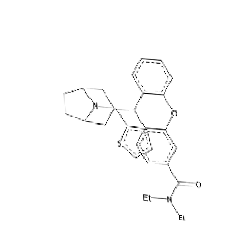 CCN(CC)C(=O)c1ccc2c(c1)Oc1ccccc1C2C1CC2CCC(C1)N2Cc1cccs1